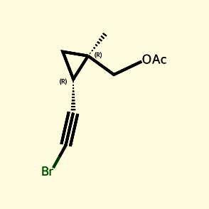 CC(=O)OC[C@]1(C)C[C@H]1C#CBr